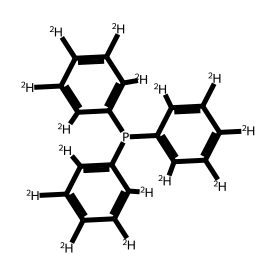 [2H]c1c([2H])c([2H])c(P(c2c([2H])c([2H])c([2H])c([2H])c2[2H])c2c([2H])c([2H])c([2H])c([2H])c2[2H])c([2H])c1[2H]